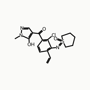 C=Cc1ccc(C(=O)c2cnn(C)c2O)c(Cl)c1N=S1(=O)CCCCC1